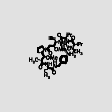 CC[C@H](C)[C@@H]([C@@H](CC(=O)N1CCC[C@H]1[C@H](OC)[C@@H](C)C(=O)N[C@@H](C)C(=O)NCc1ccc(N)cc1)OC)N(C)C(=O)[C@@H](NC(=O)[C@H](C(C)C)N(C)C)C(C)C